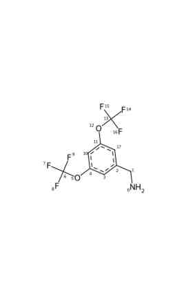 NCc1cc(OC(F)(F)F)cc(OC(F)(F)F)c1